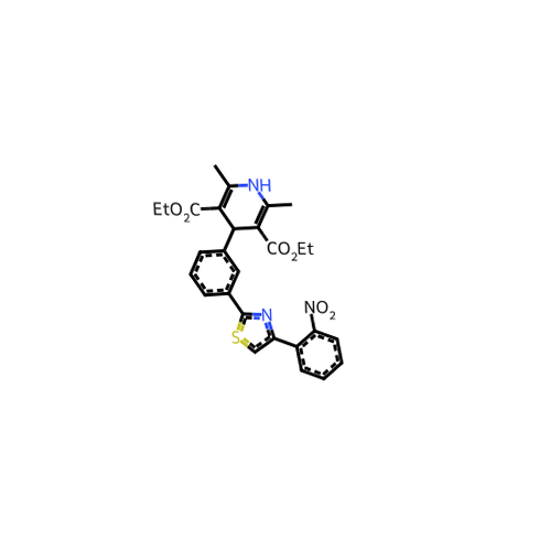 CCOC(=O)C1=C(C)NC(C)=C(C(=O)OCC)C1c1cccc(-c2nc(-c3ccccc3[N+](=O)[O-])cs2)c1